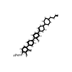 C=CCCC1CCC(C2CC=C(c3ccc(-c4ccc(-c5ccc(CCCCC)c(F)c5F)cc4)c(F)c3)CC2)CC1